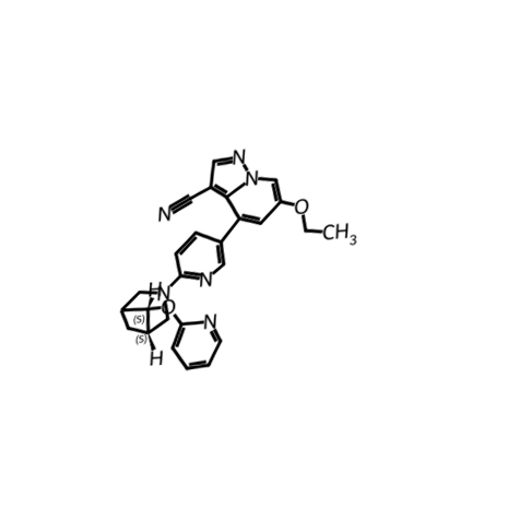 CCOc1cc(-c2ccc(N3CC4C[C@@H](C3)[C@H]4Oc3ccccn3)nc2)c2c(C#N)cnn2c1